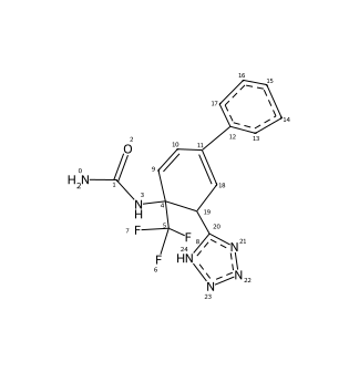 NC(=O)NC1(C(F)(F)F)C=CC(c2ccccc2)=CC1c1nnn[nH]1